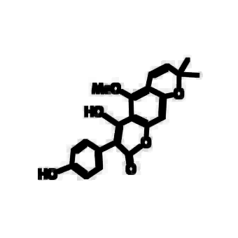 COc1c2c(cc3oc(=O)c(-c4ccc(O)cc4)c(O)c13)OC(C)(C)C=C2